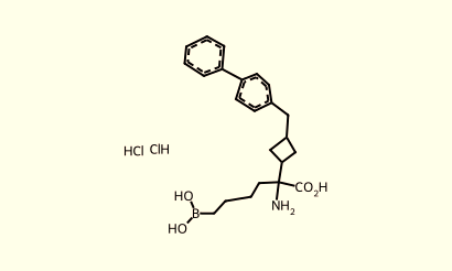 Cl.Cl.NC(CCCCB(O)O)(C(=O)O)C1CC(Cc2ccc(-c3ccccc3)cc2)C1